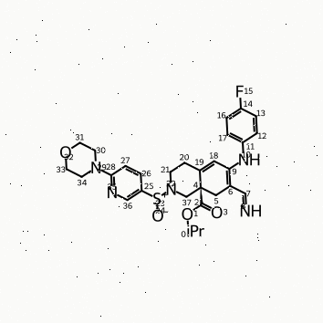 CC(C)OC(=O)[C@]12CC(C=N)=C(Nc3ccc(F)cc3)C=C1CCN([S+]([O-])c1ccc(N3CCOCC3)nc1)C2